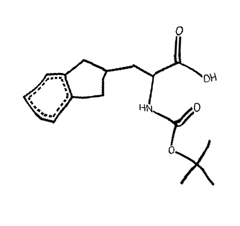 CC(C)(C)OC(=O)NC(CC1Cc2ccccc2C1)C(=O)O